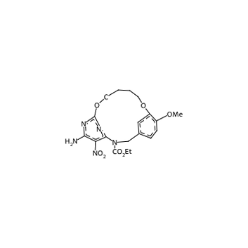 CCOC(=O)N1Cc2ccc(OC)c(c2)OCCCCOc2nc(N)c([N+](=O)[O-])c1n2